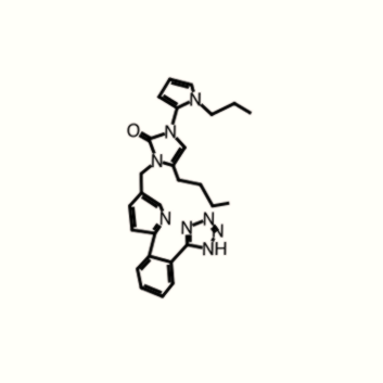 CCCCc1cn(-c2cccn2CCC)c(=O)n1Cc1ccc(-c2ccccc2-c2nnn[nH]2)nc1